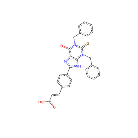 O=C(O)C=Cc1ccc(-c2nc3c(=O)n(Cc4ccccc4)c(=S)n(Cc4ccccc4)c3[nH]2)cc1